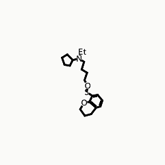 CCN(CCCCOSc1cccc2c1OCCC2)C1CCCC1